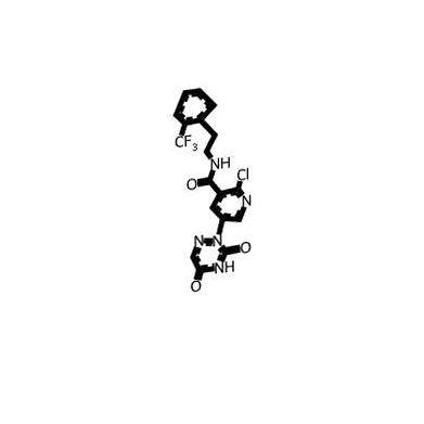 O=C(NCCc1ccccc1C(F)(F)F)c1cc(-n2ncc(=O)[nH]c2=O)cnc1Cl